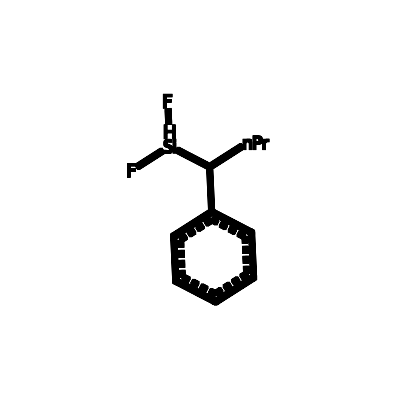 CCCC(c1ccccc1)[SiH](F)F